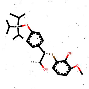 COc1cccc(S[C@@H](c2ccc(O[Si](C(C)C)(C(C)C)C(C)C)cc2)[C@@H](C)O)c1O